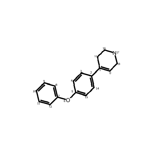 C1=C(c2ccc(Oc3ccccc3)cc2)CC[N]C1